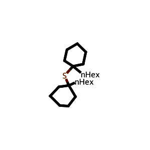 CCCCCCC1(SC2(CCCCCC)CCCCC2)CCCCC1